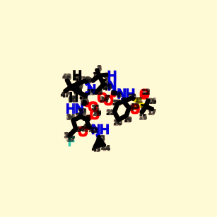 CC(C)(C)[C@H](NC(=O)NC1(CS(=O)(=O)C(C)(C)C)CCCCC1)C(=O)N1C[C@H]2[C@@H]([C@H]1C(=O)NC(CCCF)C(=O)C(=O)NC1CC1)C2(C)C